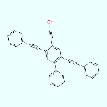 OC#Cc1cc(C#Cc2ccccc2)c(-c2ccccc2)cc1C#Cc1ccccc1